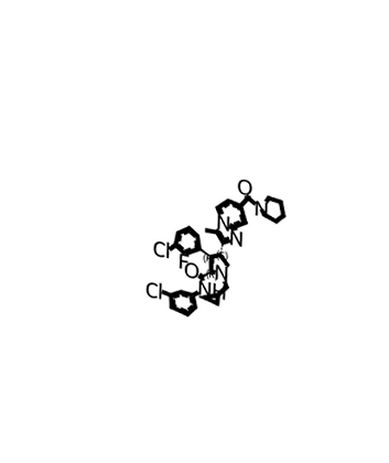 Cc1c([C@@H]2CN(CC3CC3)[C@@H](C(=O)Nc3cccc(Cl)c3)[C@H]2c2cccc(Cl)c2F)nc2cc(C(=O)N3CCCCC3)ccn12